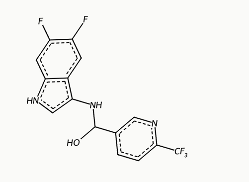 OC(Nc1c[nH]c2cc(F)c(F)cc12)c1ccc(C(F)(F)F)nc1